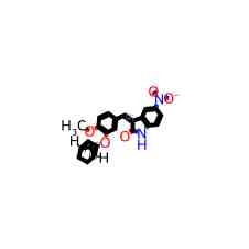 COc1ccc(/C=C2\C(=O)Nc3ccc([N+](=O)[O-])cc32)cc1O[C@H]1C[C@@H]2CC[C@H]1C2